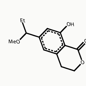 CCC(OC)c1cc(O)c2c(c1)CCOC2=O